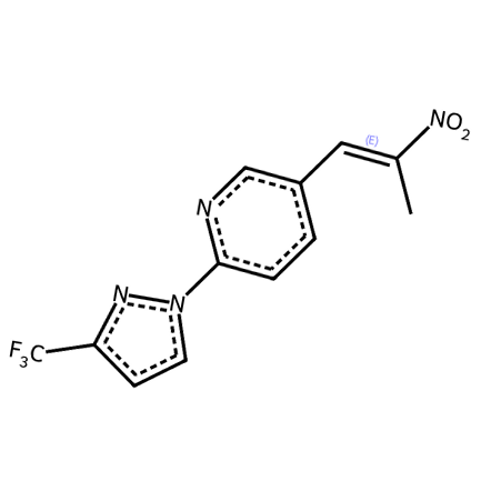 C/C(=C\c1ccc(-n2ccc(C(F)(F)F)n2)nc1)[N+](=O)[O-]